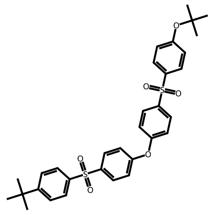 CC(C)(C)Oc1ccc(S(=O)(=O)c2ccc(Oc3ccc(S(=O)(=O)c4ccc(C(C)(C)C)cc4)cc3)cc2)cc1